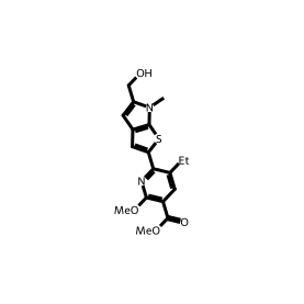 CCc1cc(C(=O)OC)c(OC)nc1-c1cc2cc(CO)n(C)c2s1